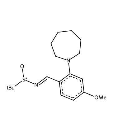 COc1ccc(C=N[S+]([O-])C(C)(C)C)c(N2CCCCCC2)c1